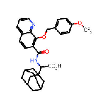 O=C(NC(C(=O)O)C12CC3CC(CC(C3)C1)C2)c1ccc2cccnc2c1OCc1ccc(OC(F)(F)F)cc1